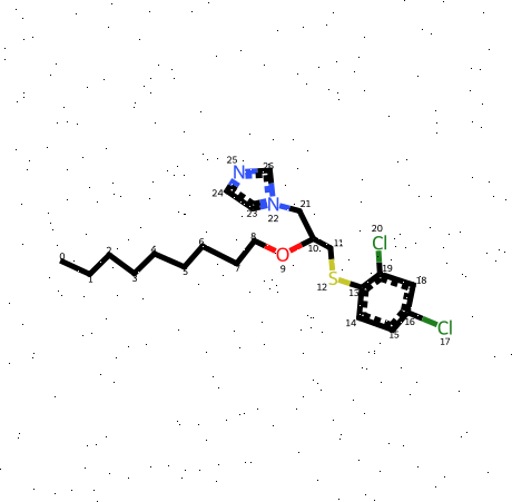 CCCCCCCCCOC(CSc1ccc(Cl)cc1Cl)Cn1ccnc1